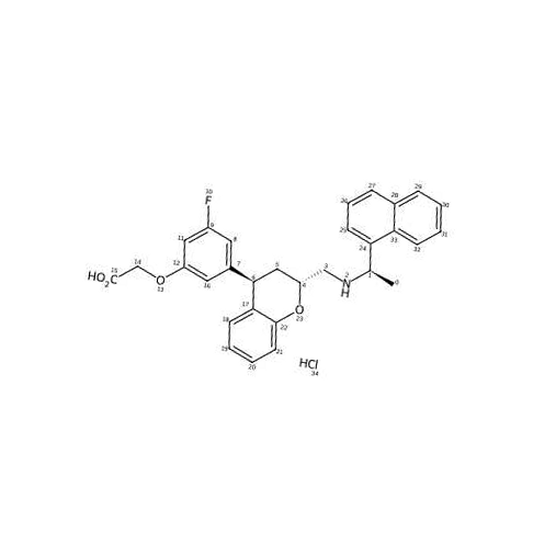 C[C@@H](NC[C@H]1C[C@H](c2cc(F)cc(OCC(=O)O)c2)c2ccccc2O1)c1cccc2ccccc12.Cl